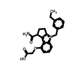 CCc1cccc(Cn2c3c(c4c(OCC(=O)O)cccc42)C(C(N)=O)CC3)c1